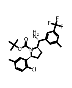 Cc1cc([C@@H](N)[C@H]2CC[C@@H](c3cc(C)ccc3Cl)N2C(=O)OC(C)(C)C)cc(C(F)(F)F)c1